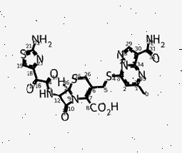 Cc1cc(SCC2=C(C(=O)O)N3C(=O)[C@@H](NC(=O)C(=O)c4csc(N)n4)[C@H]3SC2)n2ncc(C(N)=O)c2n1